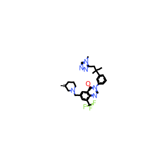 C[C@H]1CCCN(Cc2cc(C(F)(F)F)c3ncn(-c4cccc(C(C)(C)Cc5nncn5C)c4)c(=O)c3c2)C1